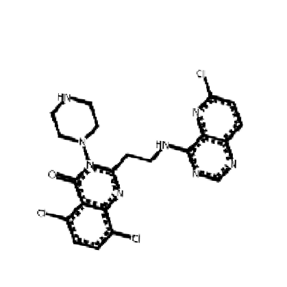 O=c1c2c(Cl)ccc(Cl)c2nc(CCNc2ncnc3ccc(Cl)nc23)n1N1CCNCC1